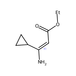 CCOC(=O)/C=C(/N)C1CC1